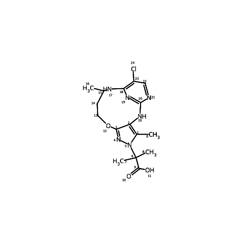 Cc1c2c(nn1C(C)(C)C(=O)O)OCCC(C)Nc1nc(ncc1Cl)N2